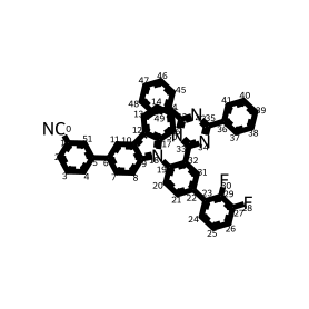 N#Cc1cccc(-c2ccc3c(c2)c2ccccc2n3-c2ccc(-c3cccc(F)c3F)cc2-c2nc(-c3ccccc3)nc(-c3ccccc3)n2)c1